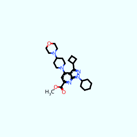 COC(=O)c1cc(N2CCC(N3CCOCC3)CC2)c2c(C3CCC3)nn(C3CCCCC3)c2n1